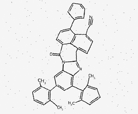 Cc1cccc(C)c1-c1cc(-c2c(C)cccc2C)c2nc3c4ccc(C#N)c5c(-c6ccccc6)ccc(c(=O)n3c2c1)c54